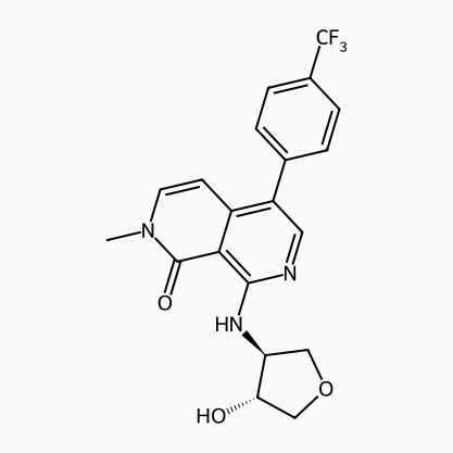 Cn1ccc2c(-c3ccc(C(F)(F)F)cc3)cnc(N[C@H]3COC[C@@H]3O)c2c1=O